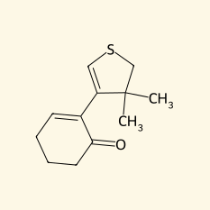 CC1(C)CSC=C1C1=CCCCC1=O